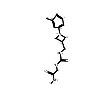 CNC(=O)COC(=O)NCC1CN(c2cccc(C)c2)C1